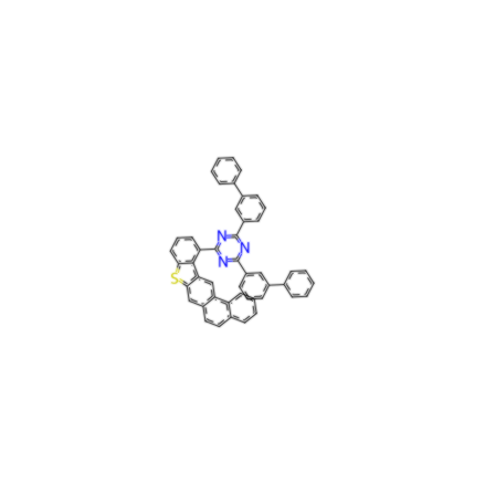 c1ccc(-c2cccc(-c3nc(-c4cccc(-c5ccccc5)c4)nc(-c4cccc5sc6cc7ccc8ccccc8c7cc6c45)n3)c2)cc1